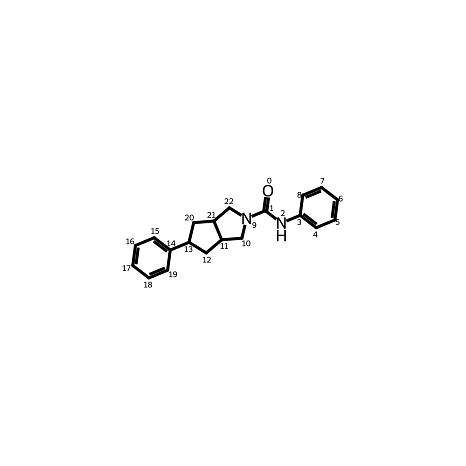 O=C(Nc1ccccc1)N1CC2CC(c3ccccc3)CC2C1